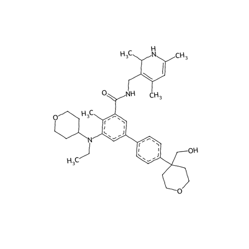 CCN(c1cc(-c2ccc(C3(CO)CCOCC3)cc2)cc(C(=O)NCC2=C(C)C=C(C)NC2C)c1C)C1CCOCC1